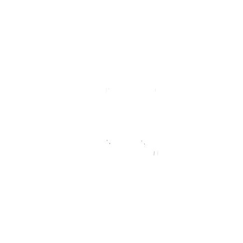 CCC1CC2(C1)CN(C)c1cnc3cc(F)c(Br)cc3c12